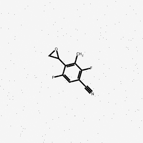 Cc1c(F)c(C#N)cc(F)c1C1CO1